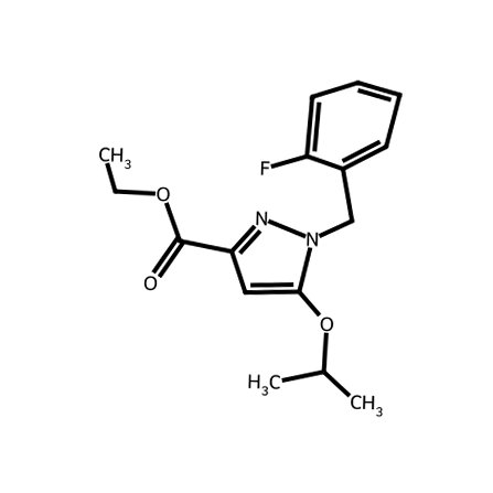 CCOC(=O)c1cc(OC(C)C)n(Cc2ccccc2F)n1